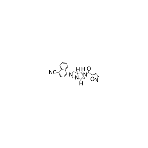 N#Cc1ccc(N2C[C@H]3[C@@H]4C[C@@H](CN4C(=O)c4ccno4)N3C2)c2ccccc12